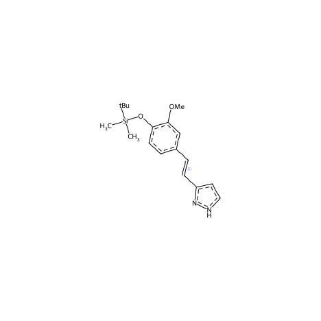 COc1cc(/C=C/c2cc[nH]n2)ccc1O[Si](C)(C)C(C)(C)C